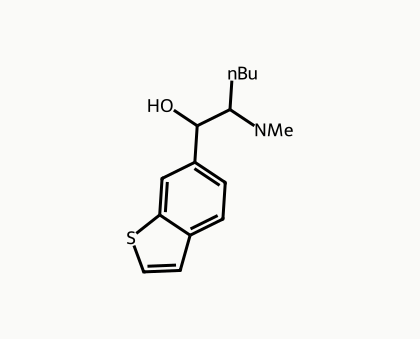 CCCCC(NC)C(O)c1ccc2ccsc2c1